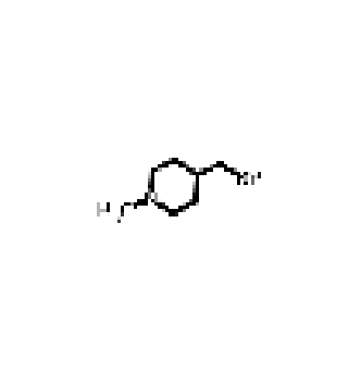 CN1CCC(C[NH])CC1